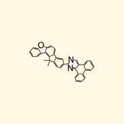 CC1(C)c2ccc(-c3ncc4c5ccccc5c5ccccc5c4n3)cc2-c2ccc3oc4ccccc4c3c21